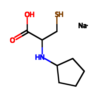 O=C(O)C(CS)NC1CCCC1.[Na]